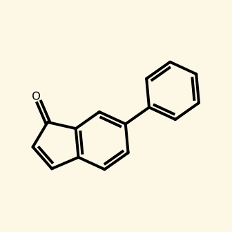 O=C1C=Cc2ccc(-c3ccccc3)cc21